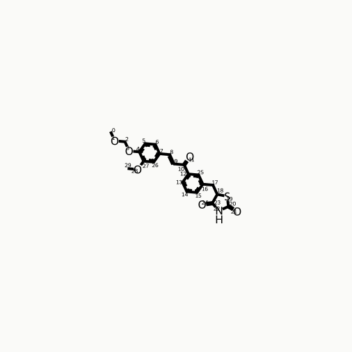 COCOc1ccc(/C=C/C(=O)c2cccc(CC3SC(=O)NC3=O)c2)cc1OC